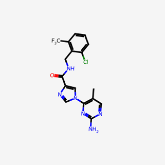 Cc1cnc(N)nc1-n1cnc(C(=O)NCc2c(Cl)cccc2C(F)(F)F)c1